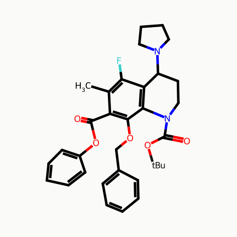 Cc1c(F)c2c(c(OCc3ccccc3)c1C(=O)Oc1ccccc1)N(C(=O)OC(C)(C)C)CCC2N1CCCC1